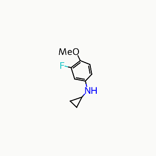 COc1ccc(NC2CC2)cc1F